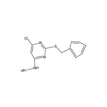 CCCNc1cc(Cl)nc(SCc2ccccc2)n1